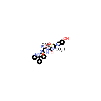 CO/N=C(\C(=O)NC1C(=O)N2C(C(=O)O)=C(N3Cc4ccc(O)cc4C3)C[S+]([O-])[C@H]12)c1csc(NC(c2ccccc2)(c2ccccc2)c2ccccc2)n1